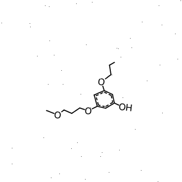 CCCOc1cc(O)cc(OCCCOC)c1